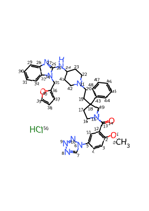 COc1ccc(-n2cnnn2)cc1C(=O)N1CCC(CCN2CCC(Nc3nc4ccccc4n3Cc3ccco3)CC2)(c2ccccc2)C1.Cl